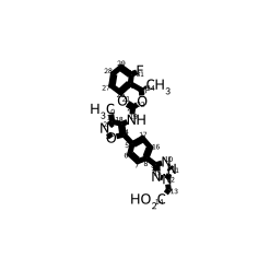 Cc1noc(-c2ccc(-c3nnn(CC(=O)O)n3)cc2)c1NC(=O)O[C@H](C)c1ccccc1F